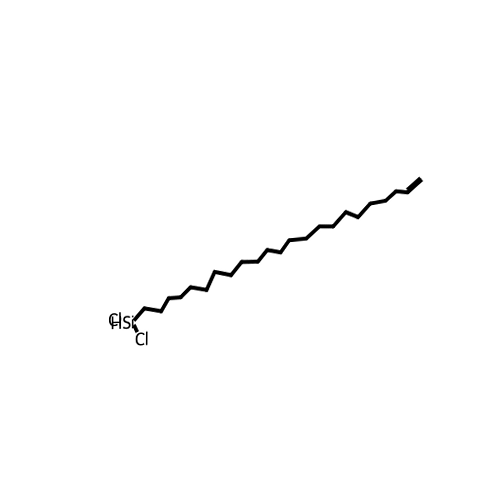 C=CCCCCCCCCCCCCCCCCCCCCC[SiH](Cl)Cl